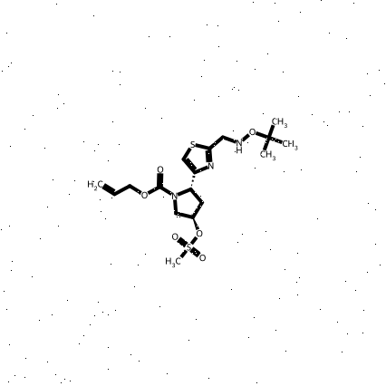 C=CCOC(=O)N1C[C@H](OS(C)(=O)=O)C[C@H]1c1csc(CNOC(C)(C)C)n1